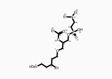 CCCCCCCCCCCCC(CC)CCOCC(COP(=O)(O)CCN(CC)CC)OC(=O)CC